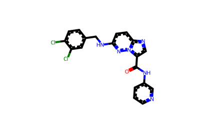 O=C(Nc1cccnc1)c1cnc2ccc(NCc3ccc(Cl)c(Cl)c3)nn12